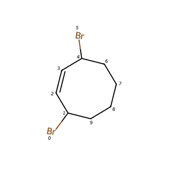 BrC1C=CC(Br)CCCC1